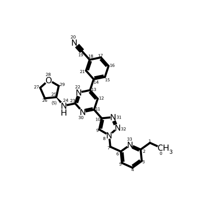 CCc1cccc(Cn2cc(-c3cc(-c4cccc(C#N)c4)nc(N[C@H]4CCOC4)n3)nn2)n1